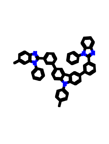 Cc1ccc(-n2c3ccc(-c4cccc(-c5nc6ccccc6n5-c5ccccc5)c4)cc3c3cc(-c4cccc(-c5nc6ccc(C)cc6n5-c5ccccc5)c4)ccc32)cc1